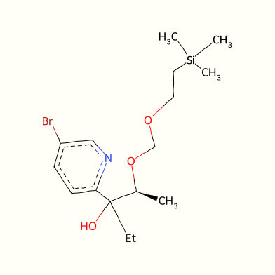 CCC(O)(c1ccc(Br)cn1)[C@H](C)OCOCC[Si](C)(C)C